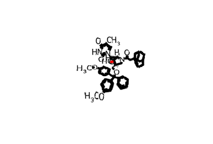 COc1ccc(C(OC[C@@]23CN(C(=O)CC45CC6CC(CC(C6)C4)C5)[C@@H]([C@H](n4cc(C)c(=O)[nH]c4=O)O2)[C@@H]3O)(c2ccccc2)c2ccc(OC)cc2)cc1